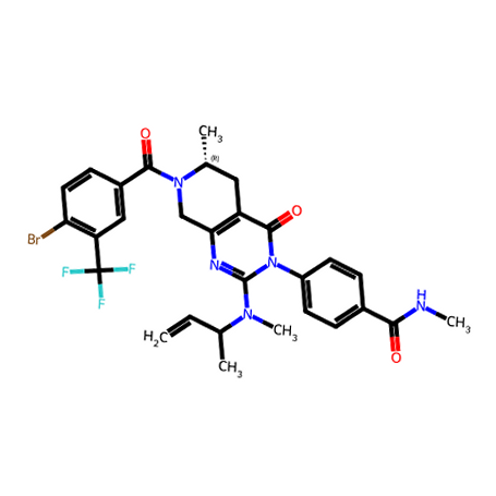 C=CC(C)N(C)c1nc2c(c(=O)n1-c1ccc(C(=O)NC)cc1)C[C@@H](C)N(C(=O)c1ccc(Br)c(C(F)(F)F)c1)C2